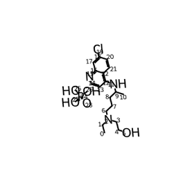 CCN(CCO)CCCC(C)Nc1ccnc2cc(Cl)ccc12.O=P(O)(O)O